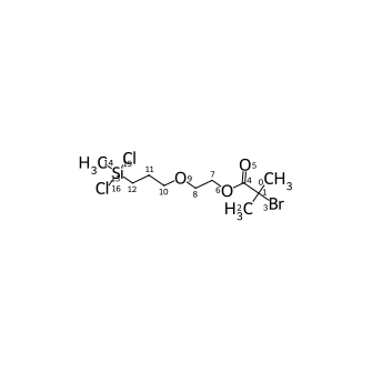 CC(C)(Br)C(=O)OCCOCCC[Si](C)(Cl)Cl